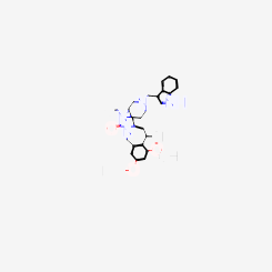 CCN1C(=O)N2Cc3cc(OC)cc(OC)c3C(C)C=C2C12CCN(Cc1c[nH]c3ccccc13)CC2